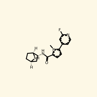 Cn1c(C(=O)N[C@@H]2C[C@H]3CC[C@@H]2N3)ccc1-c1ccnc(F)c1